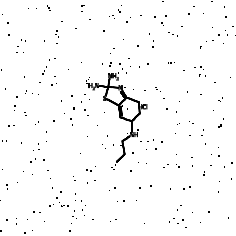 CCCNC1C=C2SC(N)(N)N=C2CC1.Cl